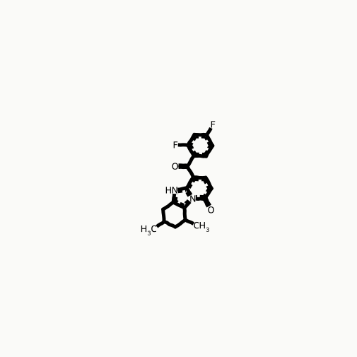 CC1Cc2[nH]c3c(C(=O)c4ccc(F)cc4F)ccc(=O)n3c2C(C)C1